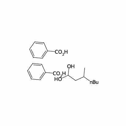 CCCCC(C)CC(O)O.O=C(O)c1ccccc1.O=C(O)c1ccccc1